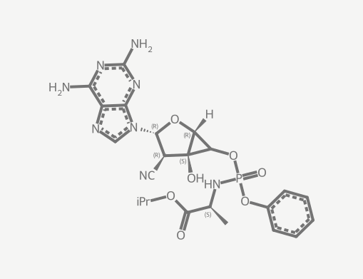 CC(C)OC(=O)[C@H](C)NP(=O)(Oc1ccccc1)OC1[C@H]2O[C@@H](n3cnc4c(N)nc(N)nc43)[C@H](C#N)[C@@]12O